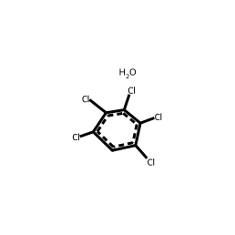 Clc1cc(Cl)c(Cl)c(Cl)c1Cl.O